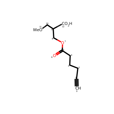 C#CCCCC(=O)OCC(COC)C(=O)O